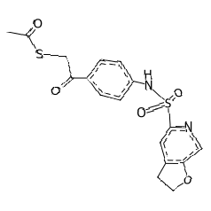 CC(=O)SCC(=O)c1ccc(NS(=O)(=O)c2cc3c(cn2)OCC3)cc1